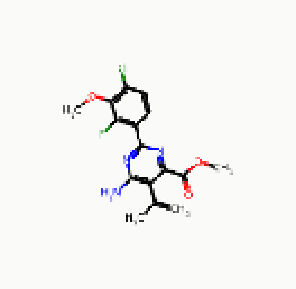 C=C(C)c1c(N)nc(-c2ccc(Cl)c(OC)c2F)nc1C(=O)OC